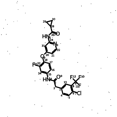 O=C(Cc1ccc(Cl)c(C(F)(F)F)c1)Nc1ccc(Oc2ccnc(NC(=O)C3CC3)c2)c(F)c1